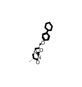 C[C@@H]1CN2C[C@H](COc3ccc(C4CCCCC4)cc3)OC2=NC1=O